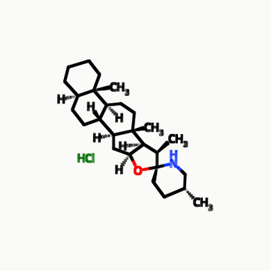 C[C@@H]1CC[C@@]2(NC1)O[C@H]1C[C@H]3[C@@H]4CC[C@H]5CCCC[C@]5(C)[C@H]4CC[C@]3(C)[C@H]1[C@H]2C.Cl